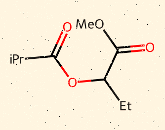 CCC(OC(=O)C(C)C)C(=O)OC